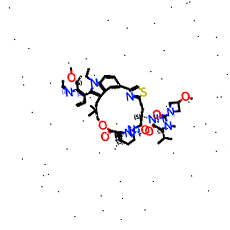 C=C/C(=C(\N=C/C)[C@H](C)OC)c1c2c3cc(ccc3n1CC)-c1csc(n1)C[C@H](NC(=O)[C@H](C(C)C)N(C)C(=O)N1CC(OC)C1)C(=O)N1CC[C@H](C)[C@H](N1)C(=O)OCC(C)(C)C2